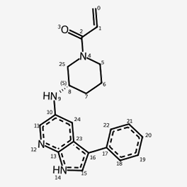 C=CC(=O)N1CCC[C@H](Nc2cnc3[nH]cc(-c4ccccc4)c3c2)C1